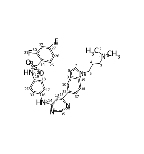 CN(C)CCCn1ccc2cc(-c3cc(Nc4ccc(NS(=O)(=O)c5ccc(F)cc5F)cc4)ncn3)ccc21